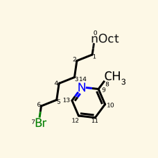 CCCCCCCCCCCCCCBr.Cc1ccccn1